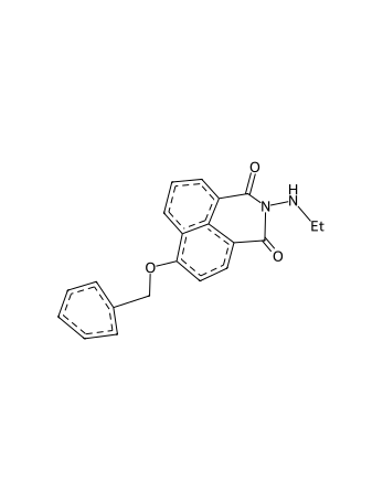 CCNN1C(=O)c2cccc3c(OCc4ccccc4)ccc(c23)C1=O